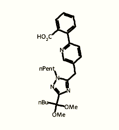 CCCCCn1nc(C(CCCC)(OC)OC)nc1Cc1ccc(-c2ccccc2C(=O)O)nc1